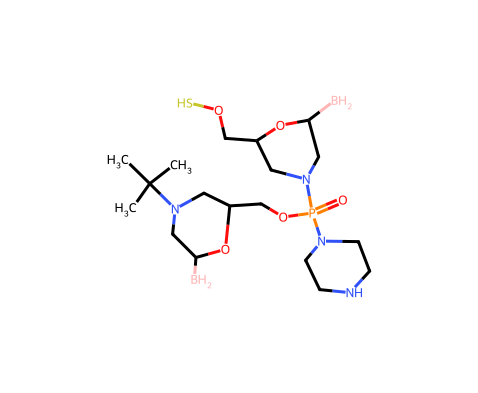 BC1CN(C(C)(C)C)CC(COP(=O)(N2CCNCC2)N2CC(B)OC(COS)C2)O1